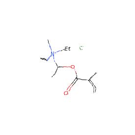 C=C(C)C(=O)OC(C)[N+](C)(C)CC.[Cl-]